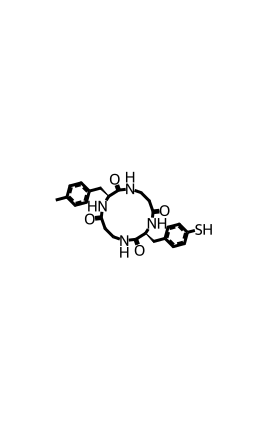 Cc1ccc(C[C@@H]2NC(=O)CCNC(=O)[C@H](Cc3ccc(S)cc3)NC(=O)CCNC2=O)cc1